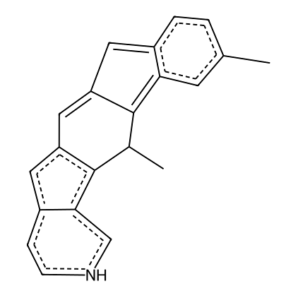 Cc1ccc2c(c1)=C1C(=Cc3cc4cc[nH]cc-4c3C1C)C=2